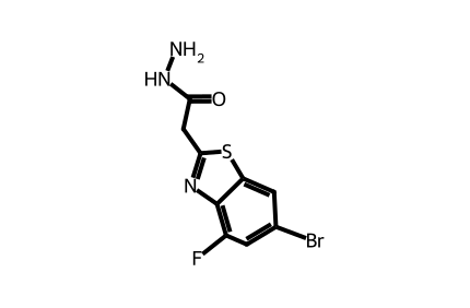 NNC(=O)Cc1nc2c(F)cc(Br)cc2s1